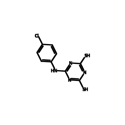 Sc1nc(S)nc(Nc2ccc(Cl)cc2)n1